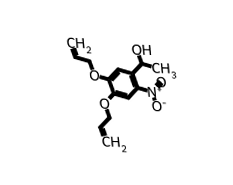 C=CCOc1cc(C(C)O)c([N+](=O)[O-])cc1OCC=C